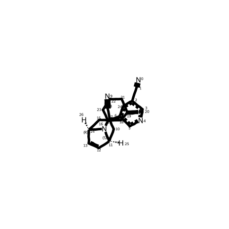 N#Cc1cncc(C2(C#N)C[C@H]3C=C[C@@H](C2)N3C2=CC(=O)CCC2)c1